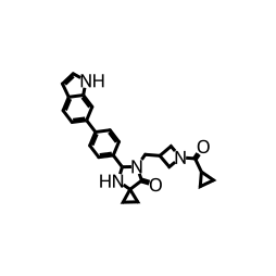 O=C(C1CC1)N1CC(CN2C(=O)C3(CC3)NC2c2ccc(-c3ccc4cc[nH]c4c3)cc2)C1